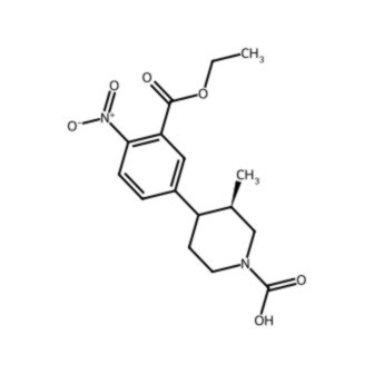 CCOC(=O)c1cc(C2CCN(C(=O)O)C[C@@H]2C)ccc1[N+](=O)[O-]